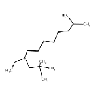 CCN(CCCCCCC(C)C)CC(C)(C)C